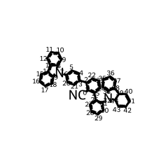 N#Cc1c(-c2ccc(-n3c4ccccc4c4ccccc43)cc2)cccc1-c1ccccc1N1c2ccccc2C2C=CC=CC21